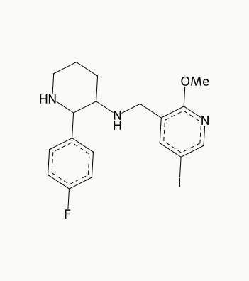 COc1ncc(I)cc1CNC1CCCNC1c1ccc(F)cc1